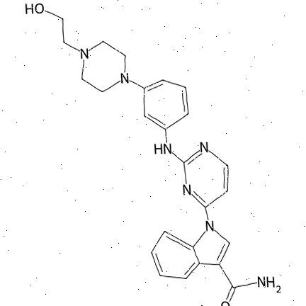 NC(=O)c1cn(-c2ccnc(Nc3cccc(N4CCN(CCO)CC4)c3)n2)c2ccccc12